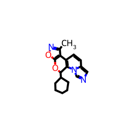 Cc1noc2c1-c1ccc3cncn3c1C(C1CCCCC1)O2